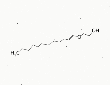 CCCCCCCCCCC=COCCO